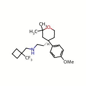 COc1ccc([C@]2(CCNCC3(C(F)(F)F)CCC3)CCOC(C)(C)C2)cc1